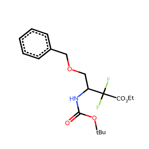 CCOC(=O)C(F)(F)C(COCc1ccccc1)NC(=O)OC(C)(C)C